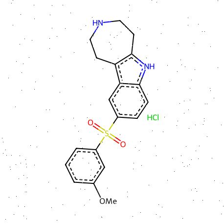 COc1cccc(S(=O)(=O)c2ccc3[nH]c4c(c3c2)CCNCC4)c1.Cl